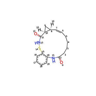 O=C1CCCC/C=C\[C@@H]2C[C@@H]2C(=O)NSc2ccccc2N1